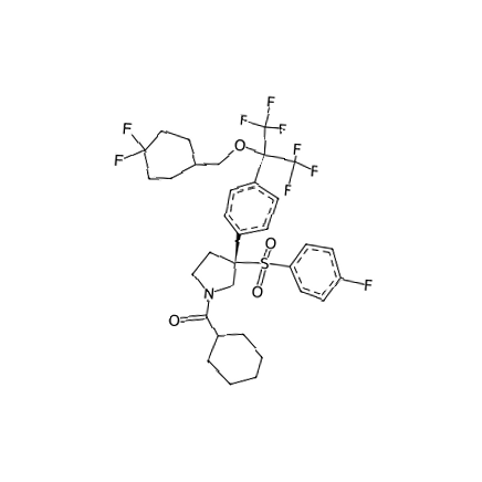 O=C(C1CCCCC1)N1CC[C@](c2ccc(C(OCC3CCC(F)(F)CC3)(C(F)(F)F)C(F)(F)F)cc2)(S(=O)(=O)c2ccc(F)cc2)C1